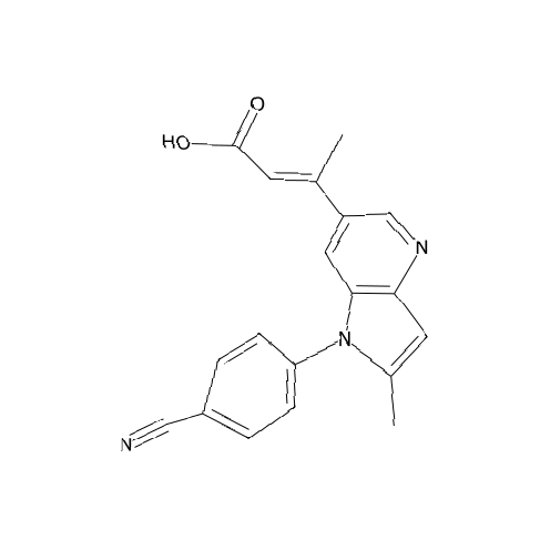 CC(=CC(=O)O)c1cnc2cc(C)n(-c3ccc(C#N)cc3)c2c1